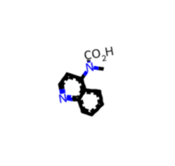 CN(C(=O)O)c1ccnc2ccccc12